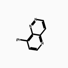 CC(C)c1ccnc2ccnnc12